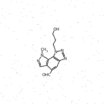 Cn1ncc2c(C=O)cc3nnn(CCCO)c3c21